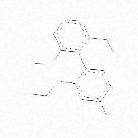 CCCOc1cncc(CO)c1-c1ccc(OC)cc1OCOC